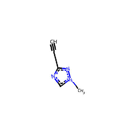 C#Cc1ncn(C)n1